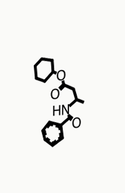 CC(CC(=O)OC1CCCCC1)NC(=O)c1ccccc1